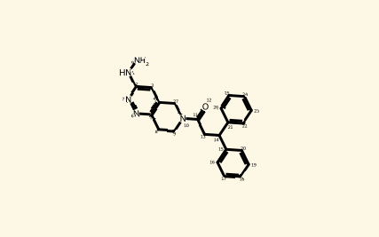 NNc1cc2c(nn1)CCN(C(=O)CC(c1ccccc1)c1ccccc1)C2